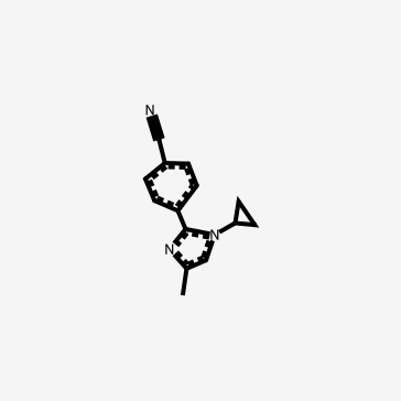 Cc1cn(C2CC2)c(-c2ccc(C#N)cc2)n1